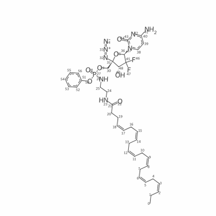 CC/C=C\C/C=C\C/C=C\C/C=C\C/C=C\C/C=C\CCC(=O)NCCNP(=O)(OC[C@@]1(N=[N+]=[N-])O[C@@H](n2ccc(N)nc2=O)C(F)(F)[C@@H]1O)Oc1ccccc1